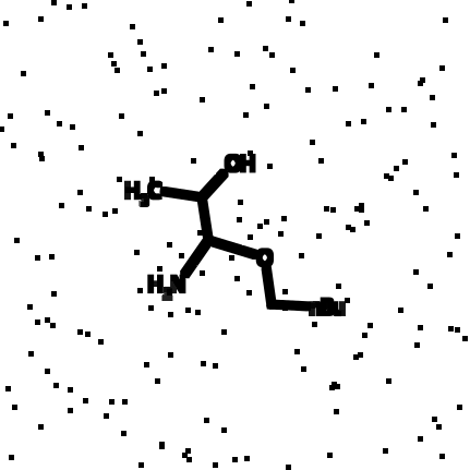 CCCCCOC(N)C(C)O